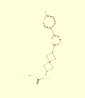 Cc1ccc(-c2nnc(C3CC4(CC(NC(=O)OC(C)(C)C)C4)C3)o2)cn1